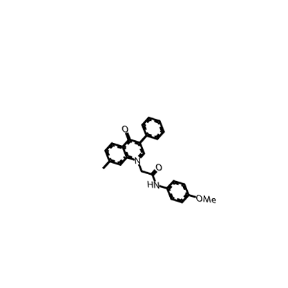 COc1ccc(NC(=O)Cn2cc(-c3ccccc3)c(=O)c3ccc(C)cc32)cc1